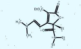 CCOC(=O)C1=C(C=CN(C)C)[C@@](CC)(C(=O)N(CC)CC)OC1=O